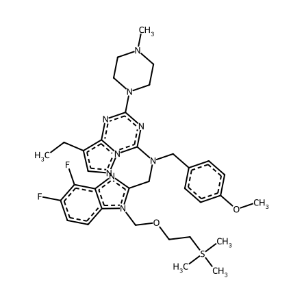 CCc1cnn2c(N(Cc3ccc(OC)cc3)Cc3nc4c(F)c(F)ccc4n3COCCS(C)(C)C)nc(N3CCN(C)CC3)nc12